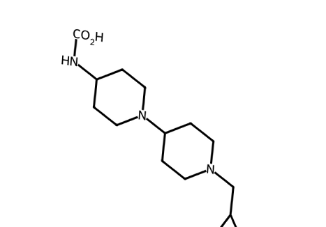 O=C(O)NC1CCN(C2CCN(CC3CC3)CC2)CC1